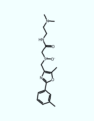 Cc1cccc(-c2nc(C[S+]([O-])CC(=O)NCCN(C)C)c(C)o2)c1